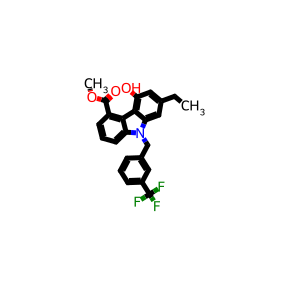 CCc1cc(O)c2c3c(C(=O)OC)cccc3n(Cc3cccc(C(F)(F)F)c3)c2c1